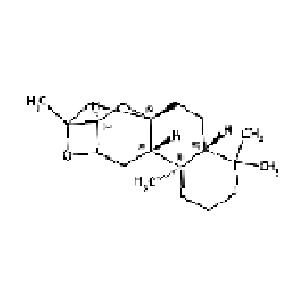 CC1(C)CCC[C@]2(C)[C@@H]1CC[C@@]13C[C@H]4C(C[C@H]12)OC4(C)C3